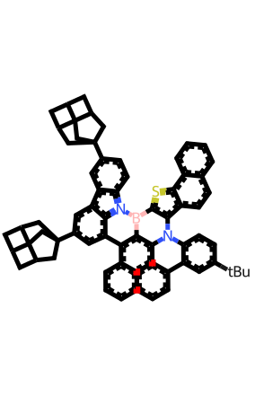 CC(C)(C)c1ccc(N2c3cc4ccccc4c4c3B(c3sc5c(ccc6ccccc65)c32)n2c3ccc(C56CC7CC8CC(C5)C87C6)cc3c3cc(C56CC7CC8CC(C5)C87C6)cc-4c32)c(-c2ccccc2)c1